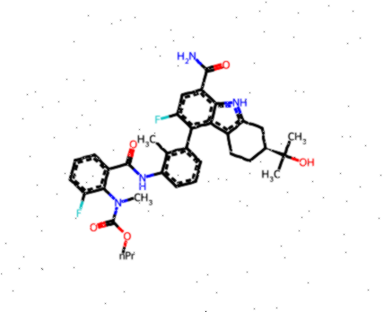 CCCOC(=O)N(C)c1c(F)cccc1C(=O)Nc1cccc(-c2c(F)cc(C(N)=O)c3[nH]c4c(c23)CC[C@H](C(C)(C)O)C4)c1C